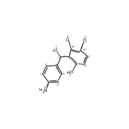 Nc1ccc(C(O)c2c(O)ccc(Cl)c2Cl)cn1